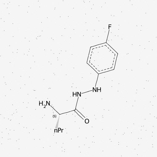 CCC[C@H](N)C(=O)NNc1ccc(F)cc1